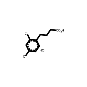 Cl.O=C(O)CCCc1ccc(Cl)cc1Cl